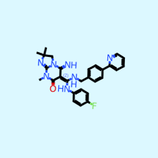 Cn1c(=O)/c(=C(/NCc2ccc(-c3ccccn3)cc2)Nc2ccc(F)cc2)c(=N)n2c1=NC(C)(C)C2